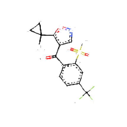 CC1(c2oncc2C(=O)c2ccc(C(F)(F)F)cc2S(C)(=O)=O)CC1